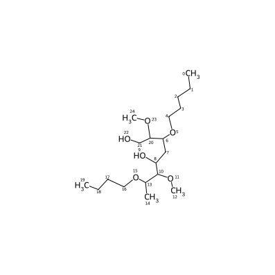 CCCCCOC(CC(O)C(OC)C(C)OCCCC)C(CO)OC